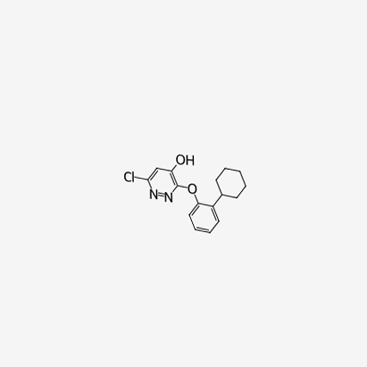 Oc1cc(Cl)nnc1Oc1ccccc1C1CCCCC1